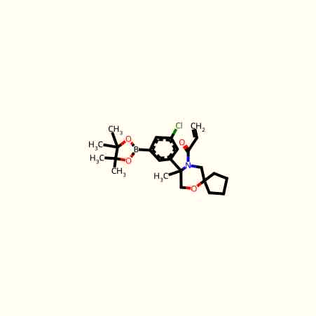 C=CC(=O)N1CC2(CCCC2)OCC1(C)c1cc(Cl)cc(B2OC(C)(C)C(C)(C)O2)c1